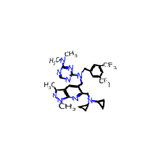 Cc1nn(C)c2nc(CN(C3CC3)C3CC3)c(CN(Cc3cc(C(F)(F)F)cc(C(F)(F)F)c3)c3ncnc(N(C)C)n3)cc12